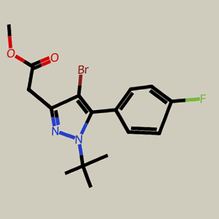 COC(=O)Cc1nn(C(C)(C)C)c(-c2ccc(F)cc2)c1Br